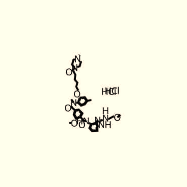 COCCNc1nc2c(NC(=O)c3ccc(C(=O)N(C)c4ccc(C)cc4OCCCCCC(=O)N4CCN(C)CC4)cc3OC)cccc2[nH]1.Cl.Cl